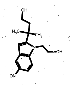 CC(C)(CCO)c1cc2cc(N=O)ccc2n1CCO